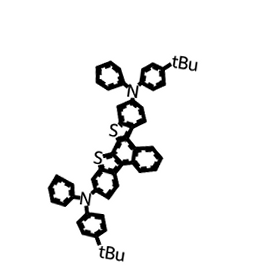 CC(C)(C)c1ccc(N(c2ccccc2)c2ccc3c(c2)sc2c4sc5cc(N(c6ccccc6)c6ccc(C(C)(C)C)cc6)ccc5c4c4ccccc4c32)cc1